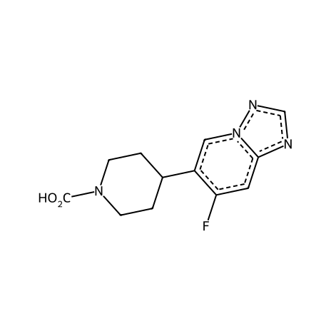 O=C(O)N1CCC(c2cn3ncnc3cc2F)CC1